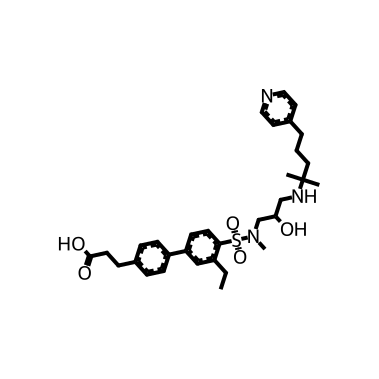 CCc1cc(-c2ccc(CCC(=O)O)cc2)ccc1S(=O)(=O)N(C)CC(O)CNC(C)(C)CCCc1ccncc1